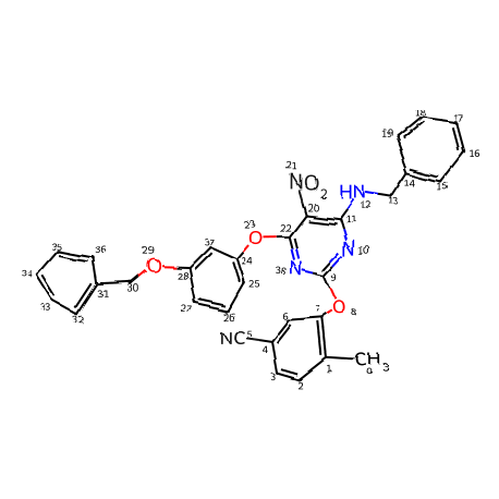 Cc1ccc(C#N)cc1Oc1nc(NCc2ccccc2)c([N+](=O)[O-])c(Oc2cccc(OCc3ccccc3)c2)n1